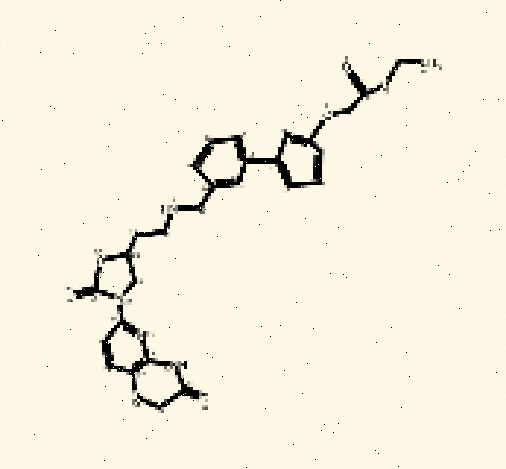 CCOC(=O)COc1cccc(-c2cccc(CNCCC3CN(c4ccc5c(n4)NC(=O)CO5)C(=O)O3)c2)c1